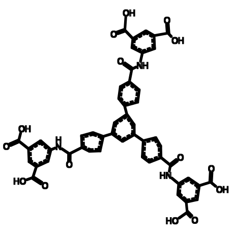 O=C(O)c1cc(NC(=O)c2ccc(-c3cc(-c4ccc(C(=O)Nc5cc(C(=O)O)cc(C(=O)O)c5)cc4)cc(-c4ccc(C(=O)Nc5cc(C(=O)O)cc(C(=O)O)c5)cc4)c3)cc2)cc(C(=O)O)c1